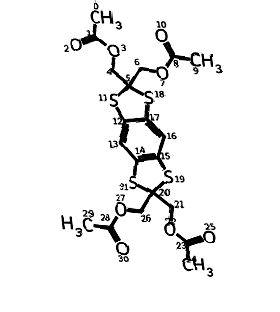 CC(=O)OCC1(COC(C)=O)Sc2cc3c(cc2S1)SC(COC(C)=O)(COC(C)=O)S3